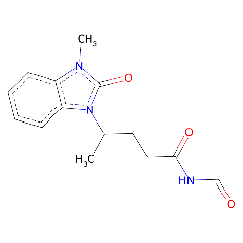 CC(CCC(=O)NC=O)n1c(=O)n(C)c2ccccc21